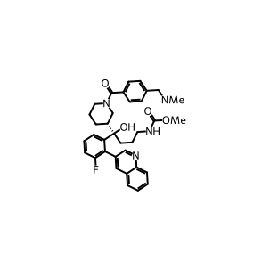 CNCc1ccc(C(=O)N2CCC[C@@H](C(O)(CCCNC(=O)OC)c3cccc(F)c3-c3cnc4ccccc4c3)C2)cc1